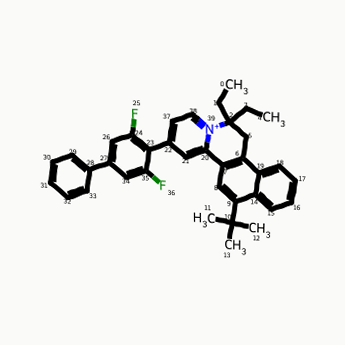 CCC1(CC)Cc2c(cc(C(C)(C)C)c3ccccc23)-c2cc(-c3c(F)cc(-c4ccccc4)cc3F)cc[n+]21